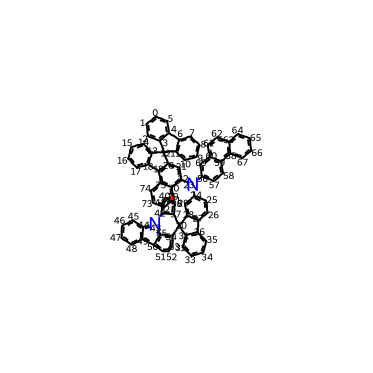 c1ccc2c(c1)-c1ccccc1C21c2ccccc2-c2c1cc(N(c1ccc3c(c1)C1(c4ccccc4-3)c3ccccc3-n3c4ccccc4c4cccc1c43)c1ccc3c(ccc4ccccc43)c1)c1ccccc21